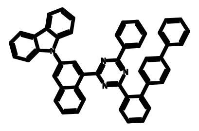 c1ccc(-c2ccc(-c3ccccc3-c3nc(-c4ccccc4)nc(-c4cc(-n5c6ccccc6c6ccccc65)cc5ccccc45)n3)cc2)cc1